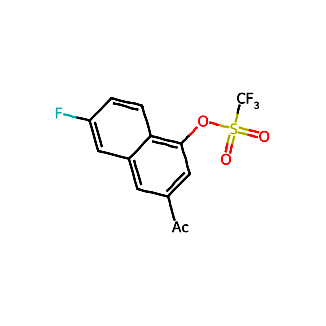 CC(=O)c1cc(OS(=O)(=O)C(F)(F)F)c2ccc(F)cc2c1